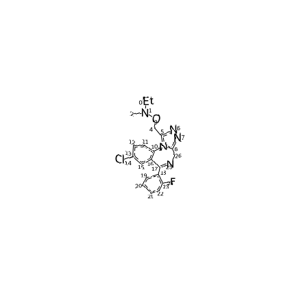 CCN(C)OCc1nnc2n1-c1ccc(Cl)cc1C(c1ccccc1F)=NC2